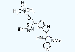 CN/C=C(\C(=N)c1ccncc1)c1cnc2ccc(N(COCC[Si](C)(C)C)c3nnc(C(C)C)s3)nc2c1